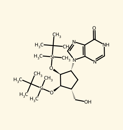 CC(C)(C)[Si](C)(C)O[C@@H]1[C@@H](CO)C[C@@H](n2cnc3c(=O)[nH]cnc32)[C@@H]1O[Si](C)(C)C(C)(C)C